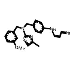 COc1cccc(CN(Cc2ccc(N/C=C\C=N)cc2)c2nc(C)cs2)c1